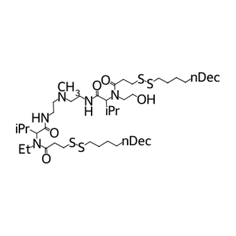 CCCCCCCCCCCCCCSSCCC(=O)N(CC)C(C(=O)NCCN(C)CCNC(=O)C(C(C)C)N(CCO)C(=O)CCSSCCCCCCCCCCCCCC)C(C)C